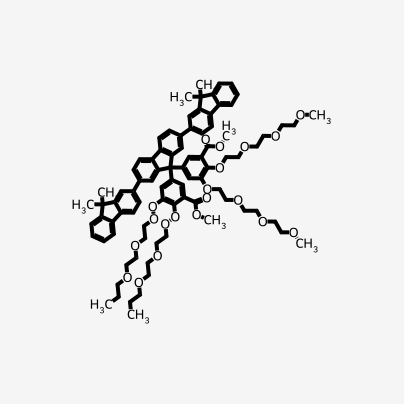 CCCOCCOCCOOc1cc(C2(c3cc(OCCOCCOCCOC)c(OCCOCCOCCOC)c(C(=O)OC)c3)c3cc(-c4ccc5c(c4)C(C)(C)c4ccccc4-5)ccc3-c3ccc(-c4ccc5c(c4)C(C)(C)c4ccccc4-5)cc32)cc(C(=O)OC)c1OOCCOCCOCCC